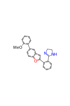 COc1ccccc1-c1ccc2oc(-c3ccccc3C3=NCCN3)cc2c1